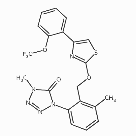 Cc1cccc(-n2nnn(C)c2=O)c1COc1nc(-c2ccccc2OC(F)(F)F)cs1